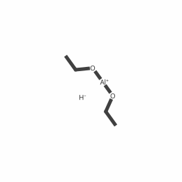 CC[O][Al+][O]CC.[H-]